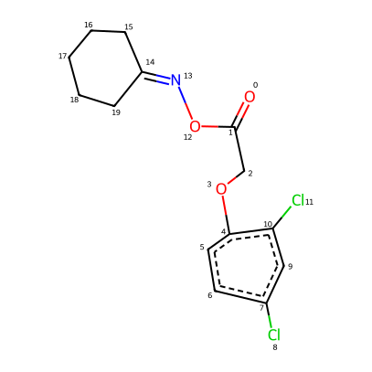 O=C(COc1ccc(Cl)cc1Cl)ON=C1CCCCC1